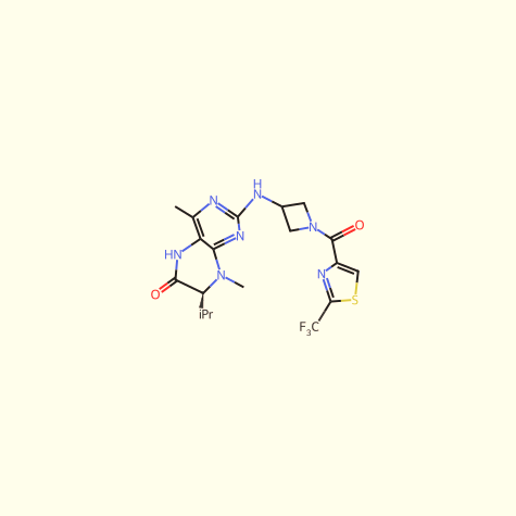 Cc1nc(NC2CN(C(=O)c3csc(C(F)(F)F)n3)C2)nc2c1NC(=O)[C@H](C(C)C)N2C